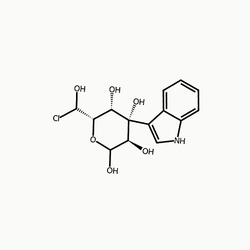 OC(Cl)[C@H]1OC(O)[C@H](O)[C@](O)(c2c[nH]c3ccccc23)[C@H]1O